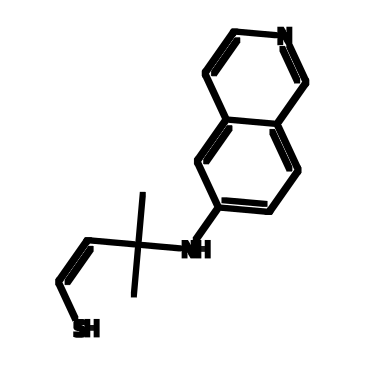 CC(C)(/C=C\S)Nc1ccc2cnccc2c1